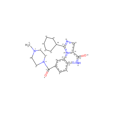 CN1CCN(C(=O)c2ccc3[nH]c(=O)c4cnc(C5CCCCC5)n4c3c2)CC1